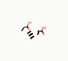 C=C.C=C.C=C.C=CC(=O)O.C=CC(=O)O